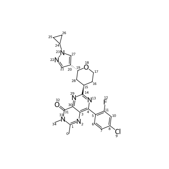 Cc1nc2c(-c3ccc(Cl)cc3F)nc([C@@H]3CCO[C@@H](c4cnn(C5CC5)c4)C3)nc2c(=O)n1C